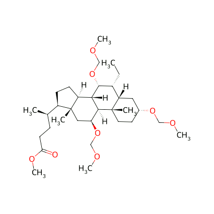 CC[C@H]1[C@@H](OCOC)[C@@H]2[C@H]([C@@H](OCOC)C[C@]3(C)[C@@H]([C@H](C)CCC(=O)OC)CC[C@@H]23)[C@@]2(C)CC[C@@H](OCOC)C[C@@H]12